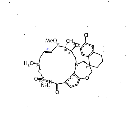 CC[C@H]1CN2C[C@@]3(CCCc4cc(Cl)ccc43)COc3ccc(cc32)C(=O)N=[S@@](N)(=O)C[C@@H](C)C/C=C/[C@H](OC)[C@@H]1C